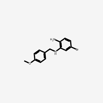 COc1ccc(CNc2cc(Br)ccc2N)cc1